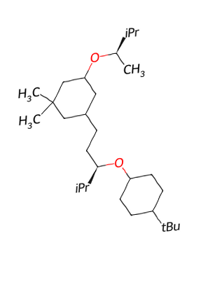 CC(C)[C@@H](C)OC1CC(CC[C@@H](OC2CCC(C(C)(C)C)CC2)C(C)C)CC(C)(C)C1